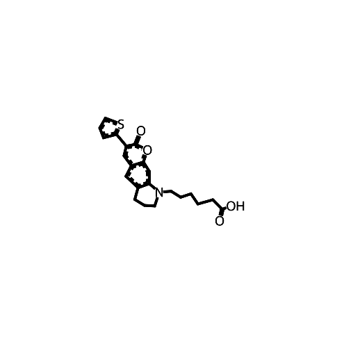 O=C(O)CCCCCN1CCCc2cc3cc(-c4cccs4)c(=O)oc3cc21